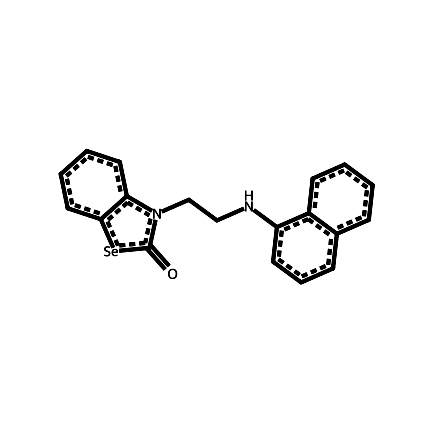 O=c1[se]c2ccccc2n1CCNc1cccc2ccccc12